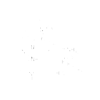 CCC(F)(F)CS(=O)(=O)Nc1c(F)ccc2c(Oc3ncccc3-c3ccnc(N[C@H]4CCCNC4)n3)c(C)ccc12